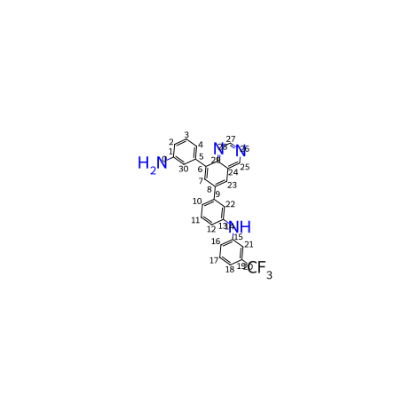 Nc1cccc(-c2cc(-c3cccc(Nc4cccc(C(F)(F)F)c4)c3)cc3cncnc23)c1